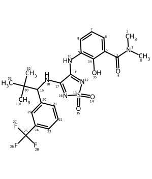 CN(C)C(=O)c1cccc(NC2=NS(=O)(=O)N=C2NC(c2cccc(C(F)(F)F)c2)C(C)(C)C)c1O